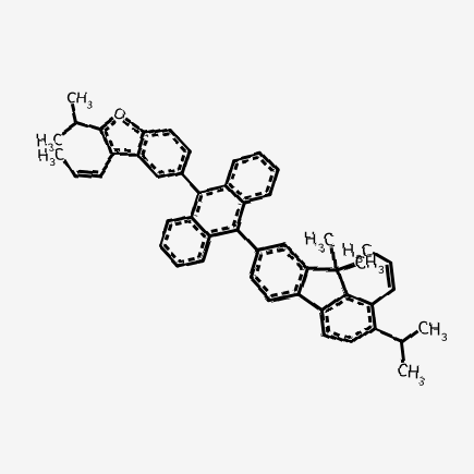 C/C=C\c1c(C(C)C)ccc2c1C(C)(C)c1cc(-c3c4ccccc4c(-c4ccc5oc(C(C)C)c(/C=C\C)c5c4)c4ccccc34)ccc1-2